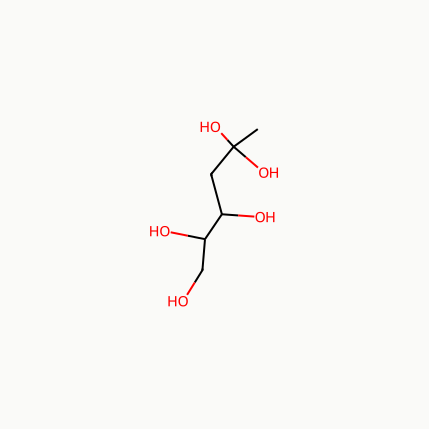 CC(O)(O)CC(O)C(O)CO